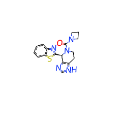 O=C(N1CCC1)N1CCc2[nH]cnc2[C@H]1c1nc2ccccc2s1